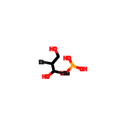 CCCCC(O)C(CC)CO.OP(O)O